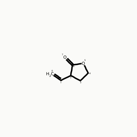 C=CC1CCOC1=O